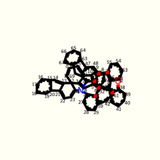 C1=CC2(C3=Cc4ccccc4C3=C1)C1=Cc3ccccc3C1=CC=C2N(c1ccccc1-c1cccc2oc3ccccc3c12)c1c2c(cc(-c3ccccc3)c1-c1ccccc1)-c1ccccc1C2